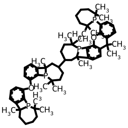 CC1(C)c2cccc(P3C(C)(C)CCCCC3(C)C)c2Oc2c1ccc1c2P2C(C)(C)CCC(C3CCC(C)(C)P4c5c(Oc6cccc7c6P6C(C)(C)CCCCC76C)cccc5C4(C)C3)CC12C